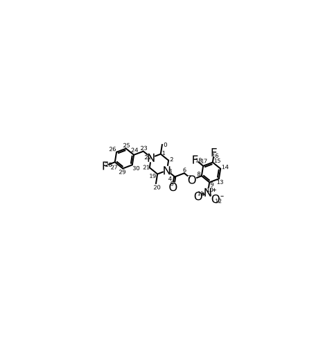 CC1CN(C(=O)COc2c([N+](=O)[O-])ccc(F)c2F)C(C)CN1Cc1ccc(F)cc1